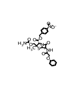 C[C@@]1(COC(N)=O)SC2[C@H](NC(=O)COc3ccccc3)C(=O)N2[C@H]1C(=O)OCc1ccc([N+](=O)[O-])cc1